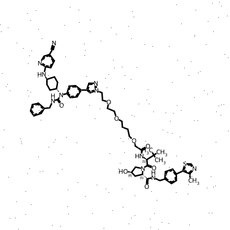 Cc1ncsc1-c1ccc(CNC(=O)[C@@H]2C[C@@H](O)CN2C(=O)[C@@H](NC(=O)COCCCCOCCOCCn2cc(-c3ccc(N(C(=O)NCc4ccccc4)[C@H]4CC[C@H](Nc5ccc(C#N)cn5)CC4)cc3)cn2)C(C)(C)C)cc1